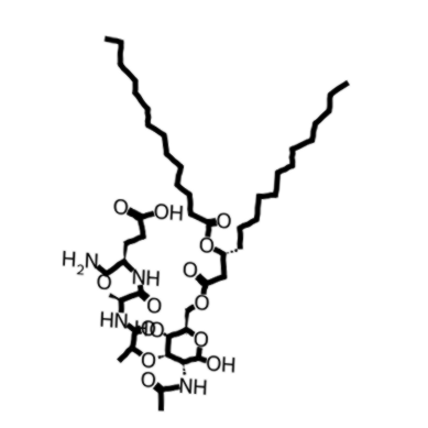 CCCCCCCCCCCCCC(=O)O[C@H](CCCCCCCCCCCCC)CC(=O)OC[C@H]1OC(O)[C@H](NC(C)=O)[C@H](OC(C)C(=O)N[C@@H](C)C(=O)N[C@H](CCC(=O)O)C(N)=O)[C@@H]1O